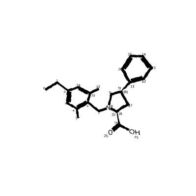 CCc1cc(C)c(CN2C[C@@H](c3ccccc3)C[C@H]2C(=O)O)c(C)c1